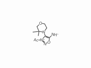 CC(=O)[n+]1noc([NH-])c1N1CCOCC1(C)C